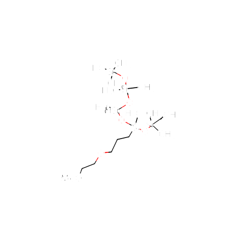 COCCOCCC[Si](C)(O[SiH](C)O[Si](C)(C)O[Si](C)(C)C)O[Si](C)(C)C